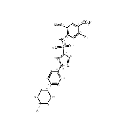 COc1cc(C(=O)O)c(F)cc1NS(=O)(=O)c1ccn(-c2ccc([C@H]3CC[C@@H](C)CC3)cc2)n1